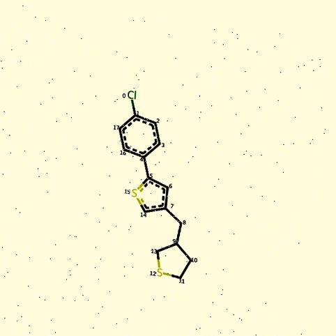 Clc1ccc(-c2cc(CC3CCSC3)cs2)cc1